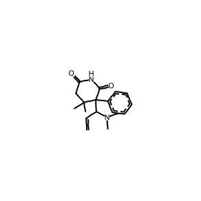 C=CC(N(C)C)C1(c2ccccc2)C(=O)NC(=O)CC1(C)C